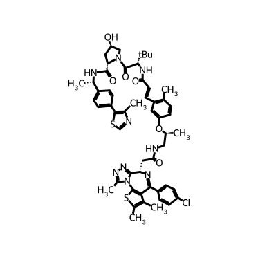 Cc1ccc(O[C@@H](C)CNC(=O)C[C@@H]2N=C(c3ccc(Cl)cc3)c3c(sc(C)c3C)-n3c(C)nnc32)cc1/C=C/C(=O)N[C@H](C(=O)N1C[C@H](O)C[C@H]1C(=O)N[C@@H](C)c1ccc(-c2scnc2C)cc1)C(C)(C)C